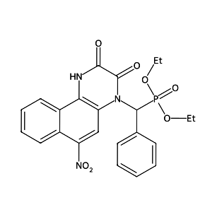 CCOP(=O)(OCC)C(c1ccccc1)n1c(=O)c(=O)[nH]c2c3ccccc3c([N+](=O)[O-])cc21